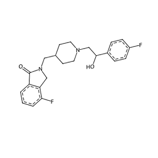 O=C1c2cccc(F)c2CN1CC1CCN(CC(O)c2ccc(F)cc2)CC1